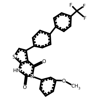 COc1cccc(-n2c(=O)[nH]c3scc(-c4ccc(-c5ccc(C(F)(F)F)cc5)cc4)c3c2=O)c1